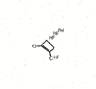 ClC1=C(Cl)CC1.F.F.F.F